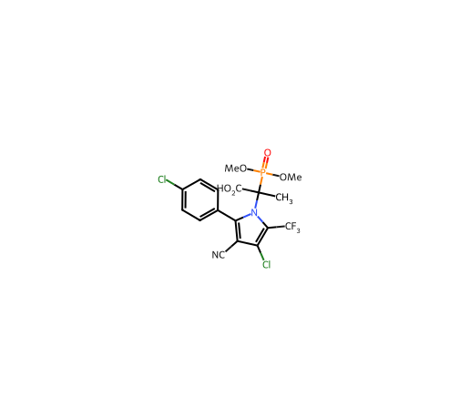 COP(=O)(OC)C(C)(C(=O)O)n1c(-c2ccc(Cl)cc2)c(C#N)c(Cl)c1C(F)(F)F